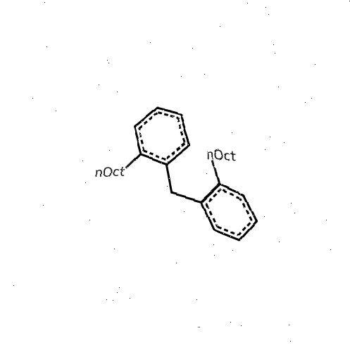 CCCCCCCCc1ccccc1Cc1ccccc1CCCCCCCC